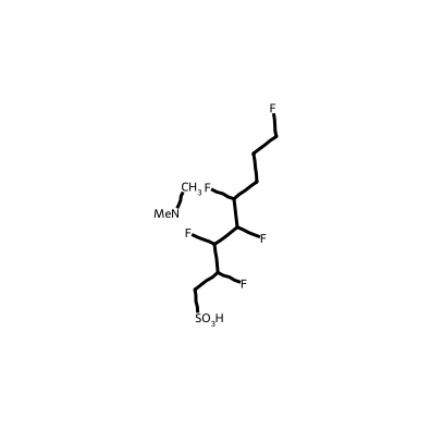 CNC.O=S(=O)(O)CC(F)C(F)C(F)C(F)CCCF